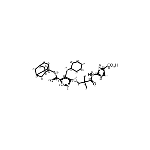 CC(C)(COc1noc(C(=O)NC2C3CC4CC(C3)CC2C4)c1SC1CCCCC1)C(=O)Nc1nc(C(=O)O)cs1